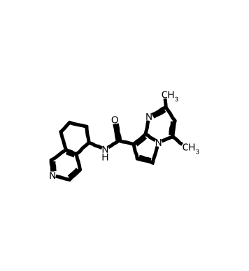 Cc1cc(C)n2ccc(C(=O)NC3CCCc4cnccc43)c2n1